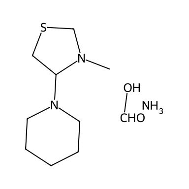 CN1CSCC1N1CCCCC1.N.O=CO